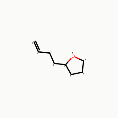 C=CCCC1CCCO1